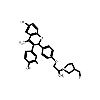 CC1=C(c2ccc(O)c(F)c2)C(c2ccc(OCC(C)N3CCC(CF)C3)cc2)Oc2ccc(O)cc21